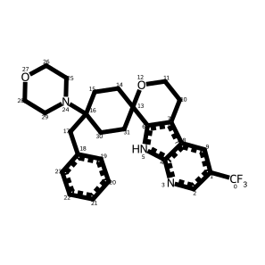 FC(F)(F)c1cnc2[nH]c3c(c2c1)CCOC31CCC(Cc2ccccc2)(N2CCOCC2)CC1